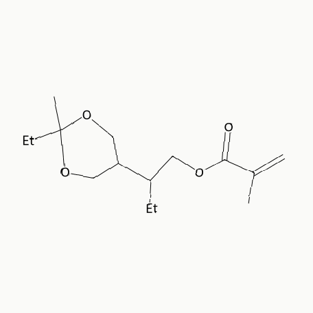 C=C(C)C(=O)OCC(CC)C1COC(C)(CC)OC1